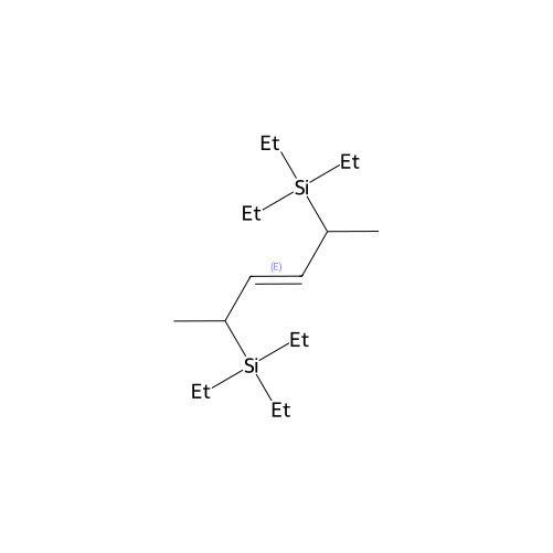 CC[Si](CC)(CC)C(C)/C=C/C(C)[Si](CC)(CC)CC